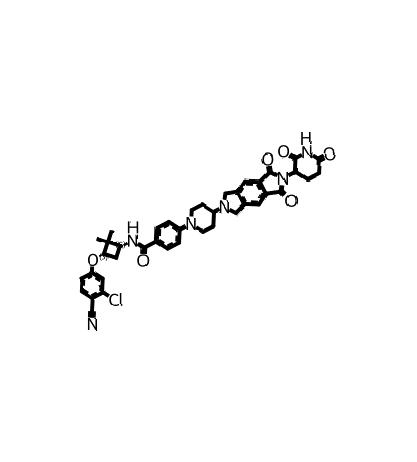 CC1(C)[C@@H](NC(=O)c2ccc(N3CCC(N4Cc5cc6c(cc5C4)C(=O)N(C4CCC(=O)NC4=O)C6=O)CC3)cc2)C[C@@H]1Oc1ccc(C#N)c(Cl)c1